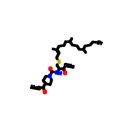 COC(=O)C1CCN(C(=O)NC(CSC/C=C(\C)CCCC(C)CCCC(C)CCCC(C)C)C(=O)OC)CC1